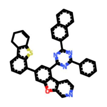 C1=Cc2sc3c(-c4cc(-c5nc(-c6ccccc6)nc(-c6ccc7ccccc7c6)n5)c5c(c4)oc4cnccc45)cccc3c2CC1